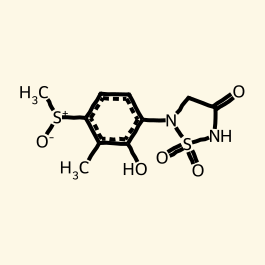 Cc1c([S+](C)[O-])ccc(N2CC(=O)NS2(=O)=O)c1O